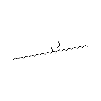 CCCCCCCCCCCCCCCC(=O)O[C@@H](C[C]=O)CCCCCCCCCCC